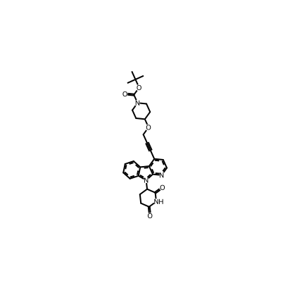 CC(C)(C)OC(=O)N1CCC(OCC#Cc2ccnc3c2c2ccccc2n3C2CCC(=O)NC2=O)CC1